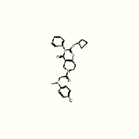 CN(CC(=O)N1CCc2nc(SC3CCC3)n(-c3ccccc3)c(=O)c2C1)c1ccc(Cl)cc1